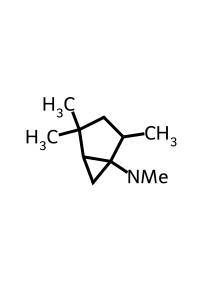 CNC12CC1C(C)(C)CC2C